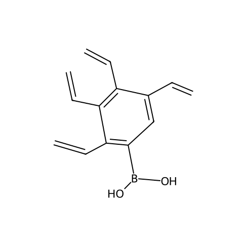 C=Cc1cc(B(O)O)c(C=C)c(C=C)c1C=C